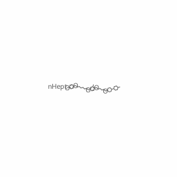 CCCCCCCOc1ccc(OCCCCCCOc2ccc(OCCCCOC3CCC(C4CCC(C)CC4)CC3)c(C)c2)cc1